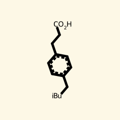 CCC(C)Cc1ccc(CCC(=O)O)cc1